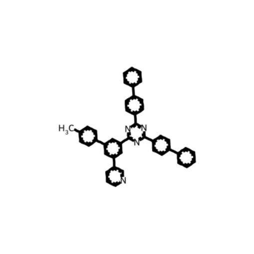 Cc1ccc(-c2cc(-c3cccnc3)cc(-c3nc(-c4ccc(-c5ccccc5)cc4)nc(-c4ccc(-c5ccccc5)cc4)n3)c2)cc1